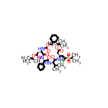 CC(C)[C@H](NC(=O)[C@@H](NC(=O)[C@H](CC(=O)OC(C)(C)C)NC(=O)OCc1ccccc1)c1ccccc1)C(=O)N[C@H](/C=C(\Cl)S(=O)(=O)C(C)C)CC(=O)OC(C)(C)C